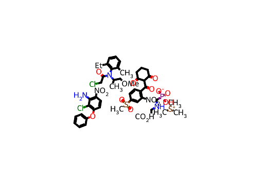 CCc1cccc(C)c1N(C(=O)CCl)C(C)COC.CS(=O)(=O)c1ccc(C(=O)C2C(=O)CCCC2=O)c([N+](=O)[O-])c1.C[S+](C)C.Nc1c([N+](=O)[O-])ccc(Oc2ccccc2)c1Cl.O=C(O)CNCP(=O)([O-])O